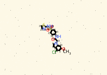 COc1cc(Cl)c2ccn(CC(=O)Nc3ccc(S(=O)(=O)Nc4nccs4)cc3)c2c1